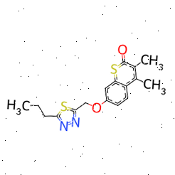 CCCc1nnc(COc2ccc3c(C)c(C)c(=O)sc3c2)s1